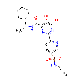 CCNS(=O)(=O)c1ccc(-c2nc(O)c(O)c(C(=O)N[C@H](C)C3CCCCC3)n2)nc1